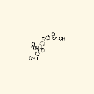 COCC(C)Oc1ccc(/C(=N\OC(C)=O)C(=O)c2ccc(Sc3ccc(C(=O)OCCO)cc3)cc2)cc1